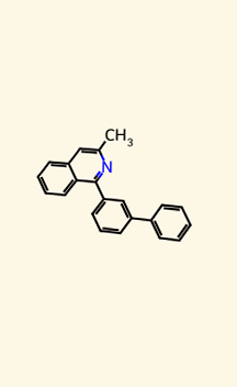 Cc1cc2ccccc2c(-c2cccc(-c3ccccc3)c2)n1